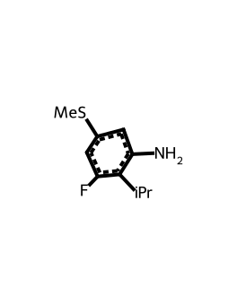 CSc1cc(N)c(C(C)C)c(F)c1